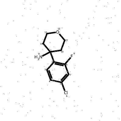 NC1(c2ccc(Cl)cc2F)CCOCC1